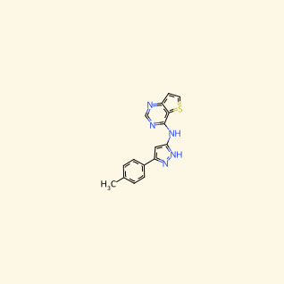 Cc1ccc(-c2cc(Nc3ncnc4ccsc34)[nH]n2)cc1